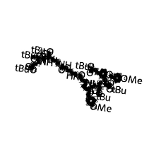 COc1ccc(COc2ccc(CCC(=O)OC(C)(C)C)cc2CN(CC(=O)OC(C)(C)C)CC(CC(=O)OC(C)(C)C)NCc2nc(CCC(=O)NCCCCCC(=O)NCCCC[C@H](NC(=O)N[C@@H](CCC(=O)OC(C)(C)C)C(=O)OC(C)(C)C)C(=O)OC(C)(C)C)ccc2OCc2ccc(OC)cc2)cc1